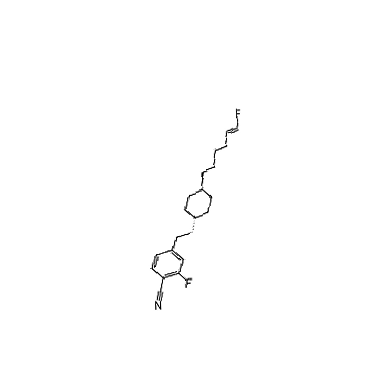 N#Cc1ccc(CC[C@H]2CC[C@H](CCCCC=CF)CC2)cc1F